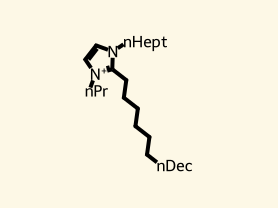 CCCCCCCCCCCCCCCCc1n(CCCCCCC)cc[n+]1CCC